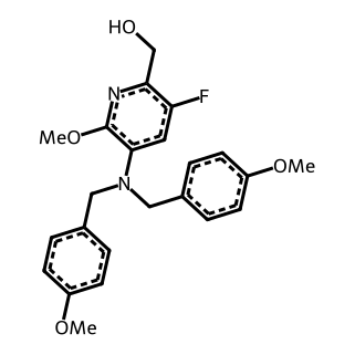 COc1ccc(CN(Cc2ccc(OC)cc2)c2cc(F)c(CO)nc2OC)cc1